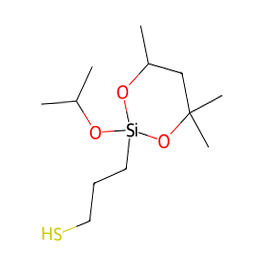 CC(C)O[Si]1(CCCS)OC(C)CC(C)(C)O1